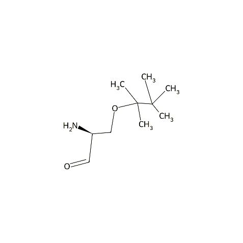 CC(C)(C)C(C)(C)OC[C@H](N)C=O